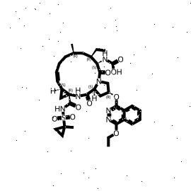 CCOc1nnc(O[C@@H]2C[C@H]3C(=O)N[C@]4(C(=O)NS(=O)(=O)C5(C)CC5)C[C@H]4C=CCC[C@@H](C)C[C@@H](CC)[C@H](NC(=O)O)C(=O)N3C2)c2ccccc12